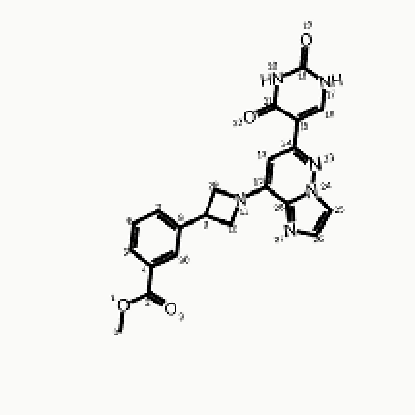 COC(=O)c1cccc(C2CN(c3cc(-c4c[nH]c(=O)[nH]c4=O)nn4ccnc34)C2)c1